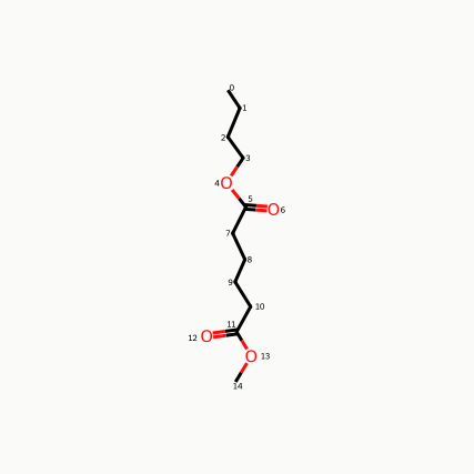 CCCCOC(=O)CCCCC(=O)OC